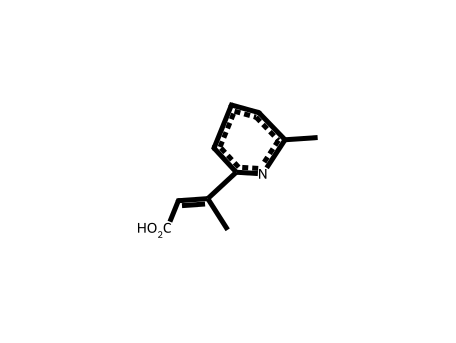 C/C(=C\C(=O)O)c1cccc(C)n1